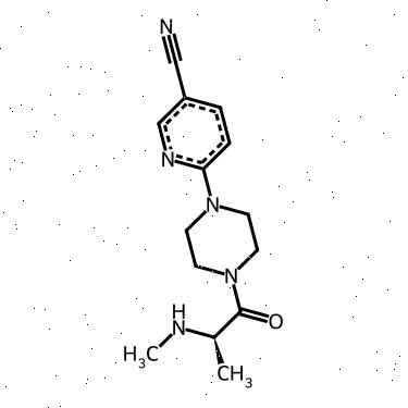 CN[C@H](C)C(=O)N1CCN(c2ccc(C#N)cn2)CC1